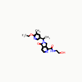 Cc1cc(C(C)N2Cc3c(ccnc3C(=O)NCCO)C2=O)cnc1OCC(F)(F)F